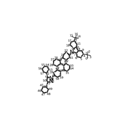 CC(C)(C)c1ccc2c(c1)c1cc(C(C)(C)C)ccc1n2-c1ccc(-c2ccccc2-c2ccccc2-c2ccc(-n3nc(-c4ccccc4)cc3-c3ccccc3)cc2)cc1